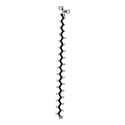 Cl[SiH](Cl)CCCCCCCCCCCCCCCCCCCCCCCCCCCCCCCBr